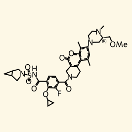 COC[C@H]1CN(c2cc(C)c3c4c(c(=O)oc3c2C)CN(C(=O)c2ccc(C(=O)NS(=O)(=O)N3CC5CC5C3)c(OC3CC3)c2F)CC4)CCN1C